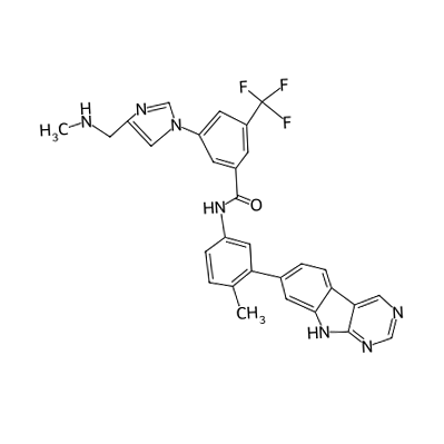 CNCc1cn(-c2cc(C(=O)Nc3ccc(C)c(-c4ccc5c(c4)[nH]c4ncncc45)c3)cc(C(F)(F)F)c2)cn1